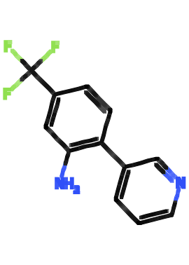 Nc1cc(C(F)(F)F)ccc1-c1cccnc1